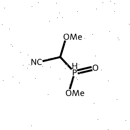 COC(C#N)[PH](=O)OC